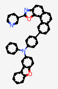 c1ccc(N(c2ccc(-c3ccc4ccc5ccc6nc(-c7cccnc7)oc6c5c4c3)cc2)c2ccc3oc4ccccc4c3c2)cc1